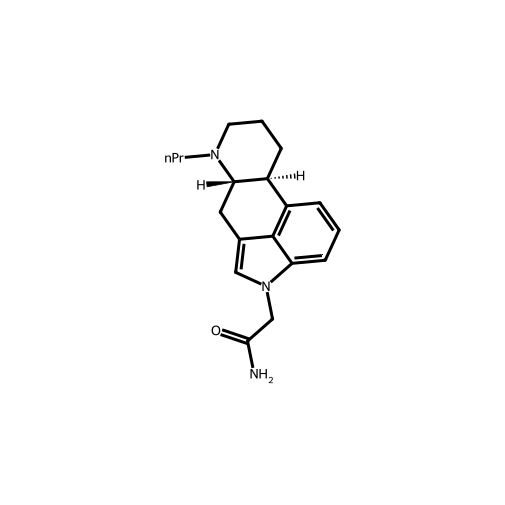 CCCN1CCC[C@H]2c3cccc4c3c(cn4CC(N)=O)C[C@@H]21